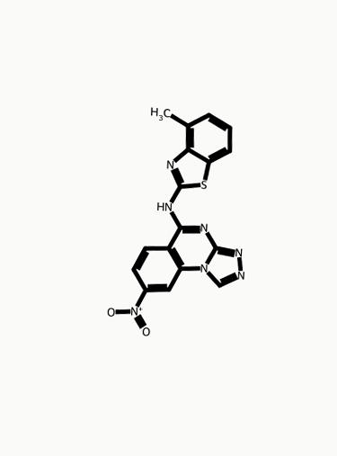 Cc1cccc2sc(Nc3nc4nncn4c4cc([N+](=O)[O-])ccc34)nc12